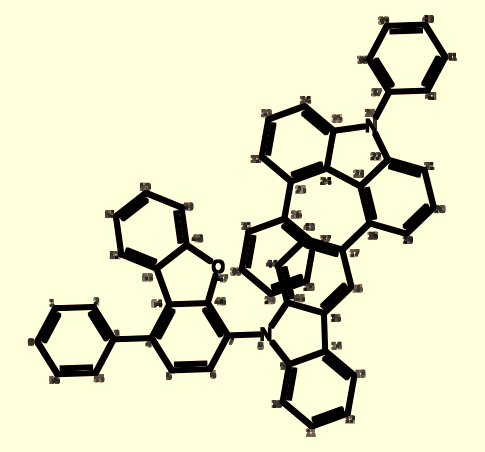 c1ccc(-c2ccc(-n3c4ccccc4c4cc(-c5cccc6c5c5c(-c7ccccc7)cccc5n6-c5ccccc5)ccc43)c3oc4ccccc4c23)cc1